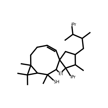 CCC1C(C)(S)C2C(C)(C)C2(C)CCC=CC12CC(CC(C)C(C)C(C)C)C(C)C2(C)C(C)C